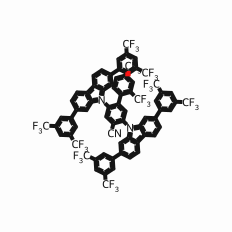 N#Cc1cc(-n2c3cc(-c4cc(C(F)(F)F)cc(C(F)(F)F)c4)ccc3c3ccc(-c4cc(C(F)(F)F)cc(C(F)(F)F)c4)cc32)c(-c2ccc(C(F)(F)F)cc2C(F)(F)F)cc1-n1c2cc(-c3cc(C(F)(F)F)cc(C(F)(F)F)c3)ccc2c2ccc(-c3cc(C(F)(F)F)cc(C(F)(F)F)c3)cc21